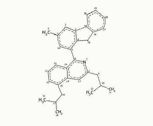 Cc1cc2c(c(-c3nc(CC(C)C)cc4c(CC(C)C)cccc34)c1)Cc1ccccc1-2